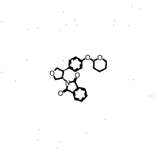 O=C1c2ccccc2C(=O)N1[C@H]1COC[C@H]1c1ccc(OC2CCCCO2)cc1